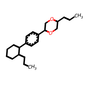 CCCC1COC(c2ccc(C3CCCCC3CCC)cc2)CO1